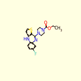 CCOC(=O)N1CCN(C2=Nc3cc(F)ccc3Nc3ccsc32)CC1